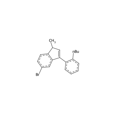 CCCCc1ccccc1C1=CC(C)c2ccc(Br)cc21